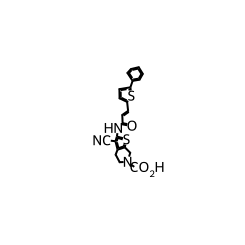 N#Cc1c(NC(=O)C=Cc2ccc(-c3ccccc3)s2)sc2c1CCN(C(=O)O)C2